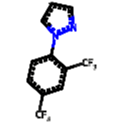 FC(F)(F)c1ccc(-n2c[c]cn2)c(C(F)(F)F)c1